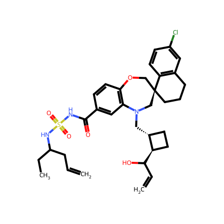 C=CCC(CC)NS(=O)(=O)NC(=O)c1ccc2c(c1)N(C[C@@H]1CC[C@H]1C(O)C=C)C[C@@]1(CCCc3cc(Cl)ccc31)CO2